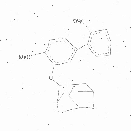 COc1ccc(-c2ccccc2C=O)cc1OC1C2CC3CC(C2)CC1C3